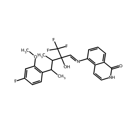 COc1cc(F)ccc1C(C)C(C)C(O)(C=Nc1cccc2c(=O)[nH]ccc12)C(F)(F)F